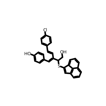 OCC(SC1=Cc2cccc3cccc1c23)C(C=Cc1ccc(Cl)cc1)=Cc1ccc(O)cc1